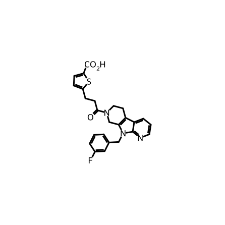 O=C(O)c1ccc(CCC(=O)N2CCc3c(n(Cc4cccc(F)c4)c4ncccc34)C2)s1